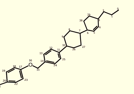 CCCC1C=CC(C2CCC(c3ccc(COc4ccc(C)cc4)cc3)CC2)CC1